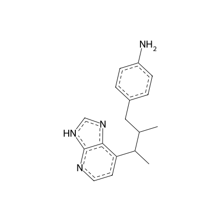 CC(Cc1ccc(N)cc1)C(C)c1ccnc2[nH]cnc12